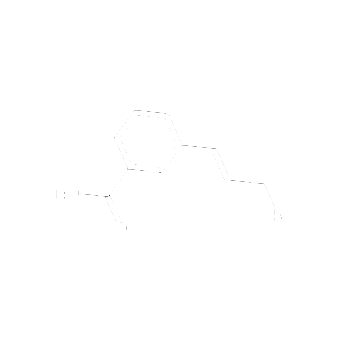 O=C(O)c1cccc(C=CCBr)c1